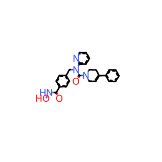 O=C(NO)c1ccc(CN(C(=O)N2CC=C(c3ccccc3)CC2)c2ccccn2)cc1